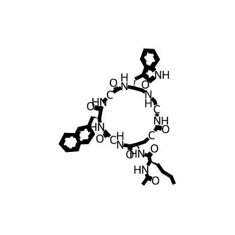 CCCC[C@@H](NC(C)=O)C(=O)N[C@H]1CCC(=O)NCCNC(=O)[C@@H](Cc2c[nH]c3ccccc23)NC(=O)CNC(=O)[C@@H](Cc2ccc3ccccc3c2)NC(=O)CNC1=O